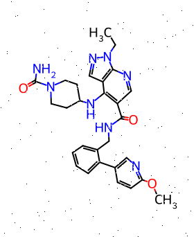 CCn1ncc2c(NC3CCN(C(N)=O)CC3)c(C(=O)NCc3ccccc3-c3ccc(OC)nc3)cnc21